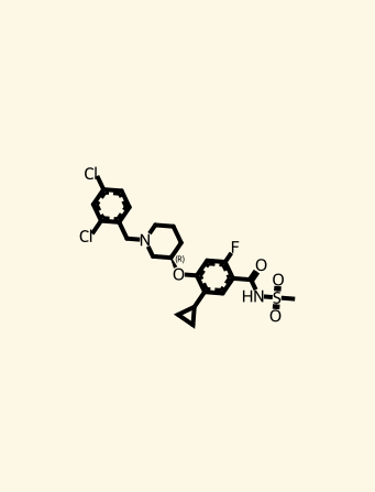 CS(=O)(=O)NC(=O)c1cc(C2CC2)c(O[C@@H]2CCCN(Cc3ccc(Cl)cc3Cl)C2)cc1F